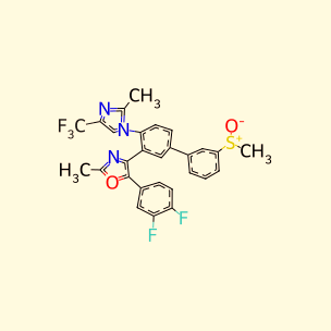 Cc1nc(-c2cc(-c3cccc([S+](C)[O-])c3)ccc2-n2cc(C(F)(F)F)nc2C)c(-c2ccc(F)c(F)c2)o1